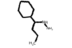 CCCC(NN)C1CCCCC1